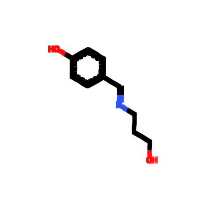 OCCC/N=C/c1ccc(O)cc1